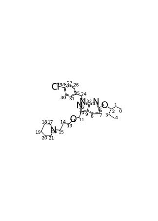 CCC(CC)Oc1ccc2c(COCCCN3CCCCC3)nn(Cc3ccc(Cl)cc3)c2n1